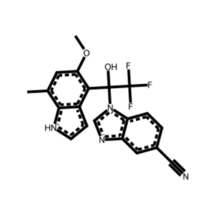 COc1cc(C)c2[nH]ccc2c1C(O)(n1cnc2cc(C#N)ccc21)C(F)(F)F